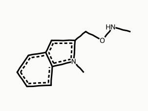 CNOCc1cc2ccccc2n1C